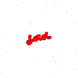 c1cc(-c2nc(-c3ccc4ccccc4c3)nc(-c3ccc4ccc5ccc6oc7ccccc7c6c5c4c3)n2)cc(-c2cc3oc4ccccc4c3c3c2ccc2ccc(-c4nc(-c5cccc(-c6cc7oc8ccccc8c7c7c6ccc6ccc(-c8nc(-c9ccc%10ccccc%10c9)nc(-c9ccc%10ccccc%10c9)n8)cc67)c5)nc(-c5cccc6ccccc56)n4)cc23)c1